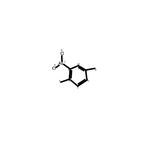 Cc1ccc(C)c([As](Cl)Cl)c1